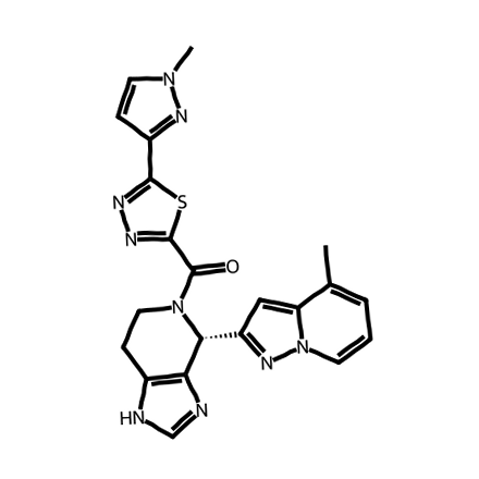 Cc1cccn2nc([C@@H]3c4nc[nH]c4CCN3C(=O)c3nnc(-c4ccn(C)n4)s3)cc12